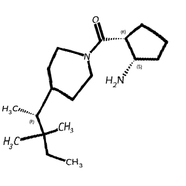 CCC(C)(C)[C@H](C)C1CCN(C(=O)[C@@H]2CCC[C@@H]2N)CC1